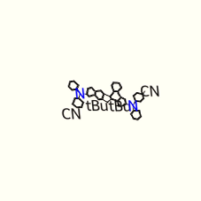 CC(C)(C)C1(C(C)(C)C)c2cc3cc(N(c4ccccc4)c4ccc(C#N)cc4)ccc3cc2-c2c1c1ccc(N(c3ccccc3)c3ccc(C#N)cc3)cc1c1ccccc21